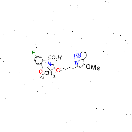 COc1cc(CCCCO[C@@H]2CCN(C(C(=O)O)c3cc(F)ccc3COC3(C)CC3)C2)nc2c1CCCN2